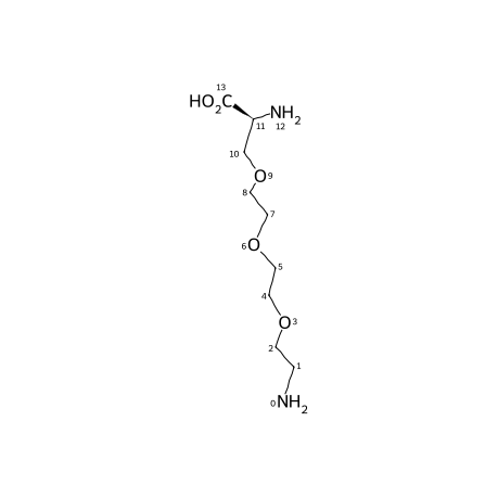 NCCOCCOCCOC[C@H](N)C(=O)O